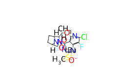 C[C@@H]1Oc2nc(Cl)c(F)c3nc([S+](C)[O-])nc(c23)N2C[C@H]3CC[C@@H]([C@@H]12)N3C(=O)OC(C)(C)C